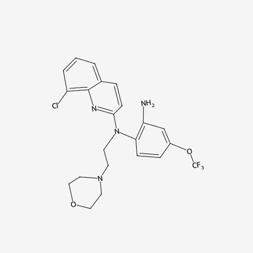 Nc1cc(OC(F)(F)F)ccc1N(CCN1CCOCC1)c1ccc2cccc(Cl)c2n1